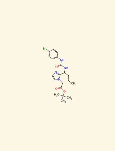 CCCC(NC(=O)Nc1ccc(Br)cc1)c1nccn1CC(=O)OC(C)(C)C